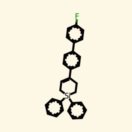 Fc1ccc(-c2ccc(C3=CC[Si](c4ccccc4)(c4ccccc4)CC3)cc2)cc1